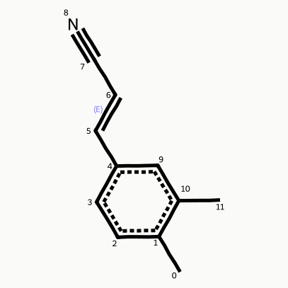 Cc1ccc(/C=C/C#N)cc1C